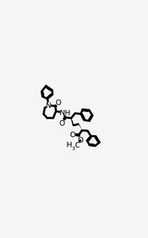 COC(=O)[C@H](CC[C@H](Cc1ccccc1)C(=O)NC1CCCCN(c2ccccc2)C1=O)Cc1ccccc1